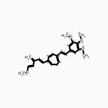 C=C(/C=C/OC)/C=C/C1=CCC=C(/C=C/c2cc(OC)c(OC)c(OC)c2)C=C1